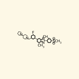 Cc1cc(-c2cc(F)cc(CN3CCC(N4CCCC4)CC3)c2)cc2c1nc(-c1ccc(S(C)(=O)=O)cc1)n2C